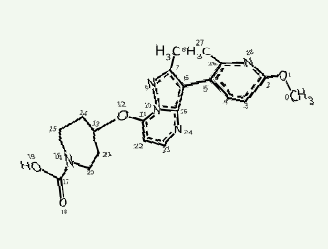 COc1ccc(-c2c(C)nn3c(OC4CCN(C(=O)O)CC4)ccnc23)c(C)n1